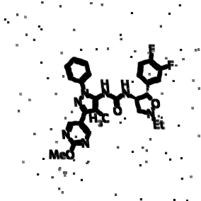 CCN1C[C@@H](NC(=O)Nc2c(C)c(-c3cnc(OC)nc3)nn2-c2ccccc2)[C@H](c2ccc(F)c(F)c2)O1